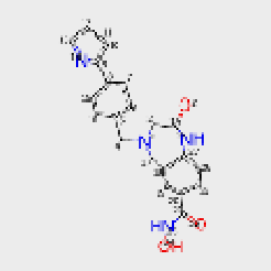 O=C1CN(Cc2ccc(-c3ccccn3)cc2)Cc2cc(C(=O)NO)ccc2N1